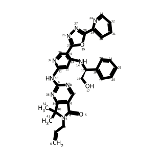 C=CCN1C(=O)c2cnc(Nc3cc(N[C@H](CO)c4ccccc4)c(-c4nnc(-c5ccccn5)o4)cn3)nc2C1(C)C